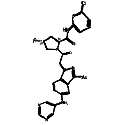 CC(=O)c1nn(CC(=O)N2C[C@H](F)C[C@H]2C(=O)Nc2cccc(Cl)n2)c2ccc(Nc3cncnc3)cc12